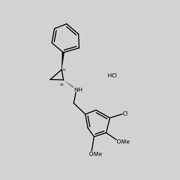 COc1cc(CN[C@@H]2C[C@H]2c2ccccc2)cc(Cl)c1OC.Cl